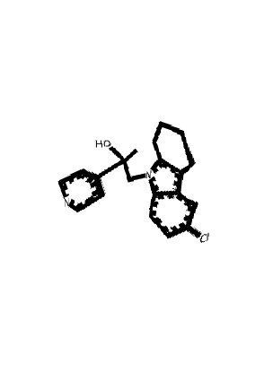 CC(O)(Cn1c2c(c3cc(Cl)ccc31)CCCC2)c1ccncc1